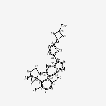 Fc1ccc(F)c([C@@]23C[C@@H]2CCN3c2ccn3ncc(-c4nnc(N5CC(F)C5)s4)c3n2)c1